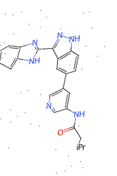 CC(C)CC(=O)Nc1cncc(-c2ccc3[nH]nc(-c4nc5ccccc5[nH]4)c3c2)c1